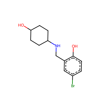 Oc1ccc(Br)cc1CNC1CCC(O)CC1